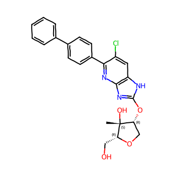 C[C@]1(O)[C@@H](CO)OC[C@H]1Oc1nc2nc(-c3ccc(-c4ccccc4)cc3)c(Cl)cc2[nH]1